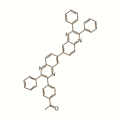 CC(=O)c1ccc(-c2nc3cc(-c4ccc5nc(-c6ccccc6)c(-c6ccccc6)nc5c4)ccc3nc2-c2ccccc2)cc1